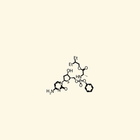 CCC(CC)COC(=O)[C@H](C)N[P@](=O)(OC[C@H]1S[C@@H](n2ccc(N)nc2=O)C[C@H]1O)Oc1ccccc1